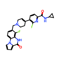 O=C(NC1CC1)c1ccc(C2=CCN(Cc3ccc4c([nH]c(=O)c5cccn54)c3F)CC2)c(F)n1